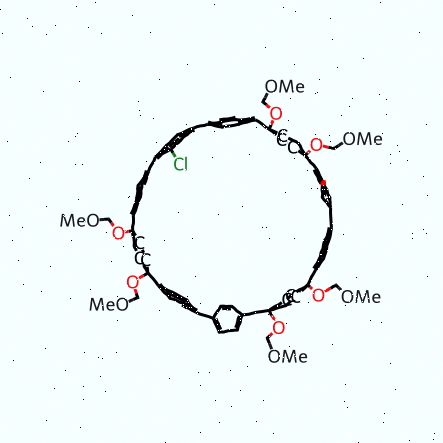 COCOC12CCC(OCOC)(CC1)c1ccc(cc1)-c1ccc(cc1)C1(OCOC)CCC(OCOC)(CC1)c1ccc(cc1)-c1ccc(cc1Cl)-c1ccc(cc1)C1(OCOC)CCC(OCOC)(CC1)c1ccc(cc1)-c1ccc2cc1